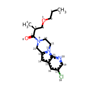 CCCOC[C@H](C)C(=O)N1CCn2c(cc3cc(Cl)cnc32)C1